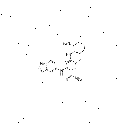 CNC1CCCCC1Nc1nc(Nc2ccc3nccn3c2)c(C(N)=O)cc1F